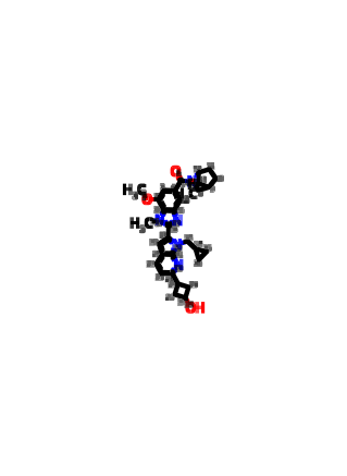 COc1cc(C(=O)N2CC3CCC2[C@@H]3C)cc2nc(-c3cc4ccc(C5CC(O)C5)nc4n3CC3CC3)n(C)c12